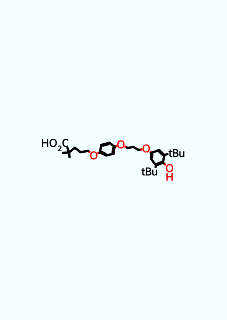 CC(C)(CCCOc1ccc(OCCCOc2cc(C(C)(C)C)c(O)c(C(C)(C)C)c2)cc1)C(=O)O